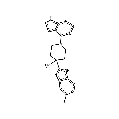 NC1(c2nc3cc(Br)ccc3[nH]2)CCN(c2ncnc3[nH]ccc23)CC1